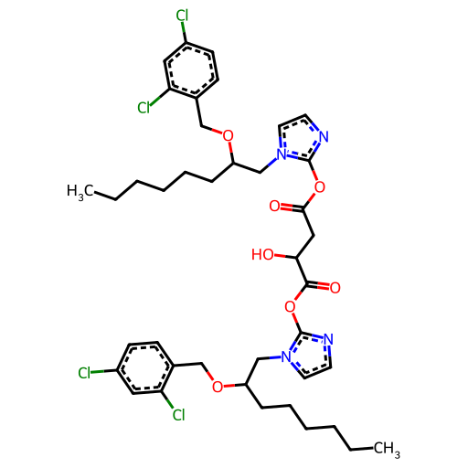 CCCCCCC(Cn1ccnc1OC(=O)CC(O)C(=O)Oc1nccn1CC(CCCCCC)OCc1ccc(Cl)cc1Cl)OCc1ccc(Cl)cc1Cl